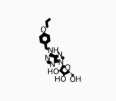 CCCOc1ccc(CNc2ncnc3c2ncn3[C@@H]2O[C@H](CO)[C@@H](O)[C@H]2O)cc1